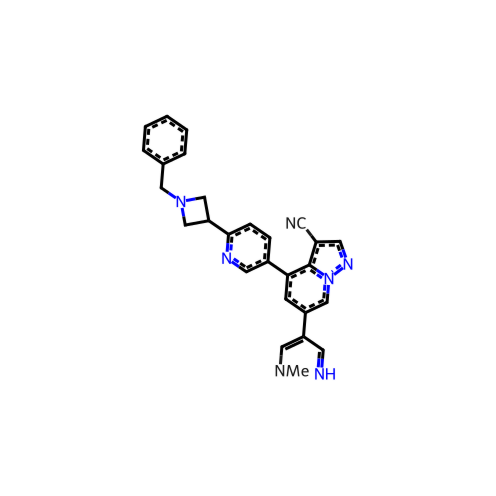 CN/C=C(\C=N)c1cc(-c2ccc(C3CN(Cc4ccccc4)C3)nc2)c2c(C#N)cnn2c1